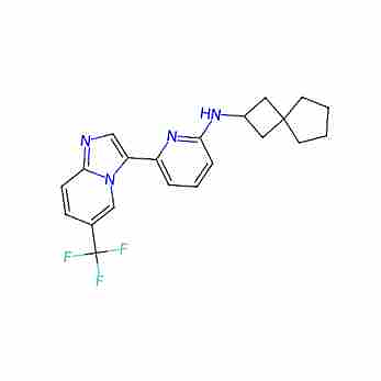 FC(F)(F)c1ccc2ncc(-c3cccc(NC4CC5(CCCC5)C4)n3)n2c1